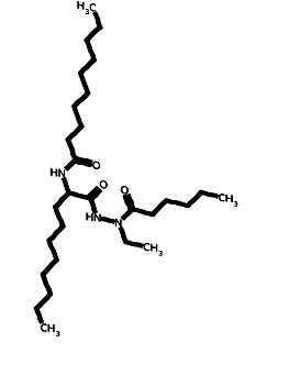 CCCCCCCCCC(=O)NC(CCCCCCCC)C(=O)NN(CC)C(=O)CCCCC